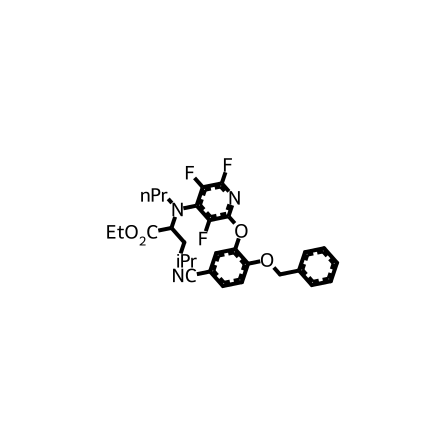 CCCN(c1c(F)c(F)nc(Oc2cc(C#N)ccc2OCc2ccccc2)c1F)C(CC(C)C)C(=O)OCC